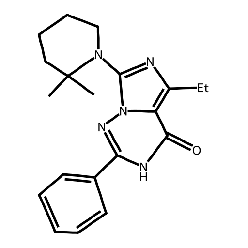 CCc1nc(N2CCCCC2(C)C)n2nc(-c3ccccc3)[nH]c(=O)c12